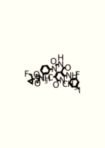 Cc1c(=O)n(C)c(Nc2ccc(I)cc2F)c2c(=O)[nH]c(=O)n(-c3cccc(NS(=O)(=O)C4(CF)CC4)c3)c12